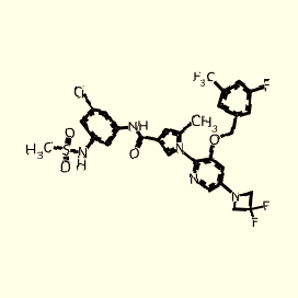 Cc1cc(C(=O)Nc2cc(Cl)cc(NS(C)(=O)=O)c2)cn1-c1ncc(N2CC(F)(F)C2)cc1OCc1cc(F)cc(C(F)(F)F)c1